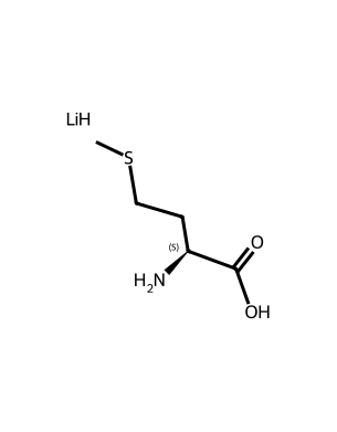 CSCC[C@H](N)C(=O)O.[LiH]